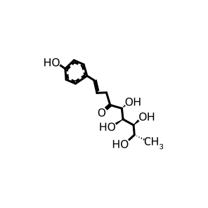 C[C@H](O)[C@H](O)[C@@H](O)[C@@H](O)C(=O)C/C=C/c1ccc(O)cc1